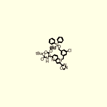 CC(C)(C)OC(=O)NN(C(=O)OC(C)(C)C)c1ccc2c(cc(-c3nnco3)n2Cc2cc(Cl)cc(CO[Si](c3ccccc3)(c3ccccc3)C(C)(C)C)c2)n1